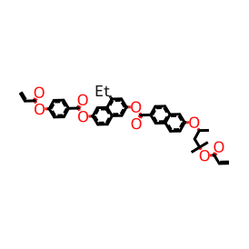 C=CC(=O)Oc1ccc(C(=O)Oc2ccc3cc(OC(=O)c4ccc5cc(OC(C)CC(C)(C)OC(=O)C=C)ccc5c4)cc(CC)c3c2)cc1